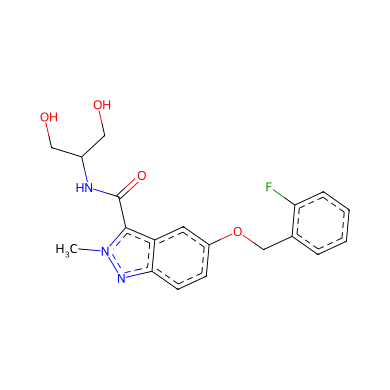 Cn1nc2ccc(OCc3ccccc3F)cc2c1C(=O)NC(CO)CO